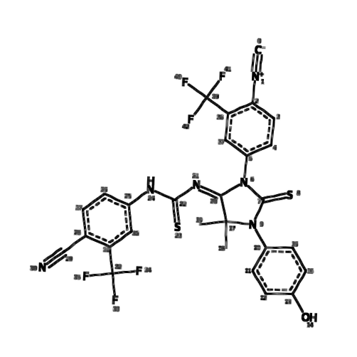 [C-]#[N+]c1ccc(N2C(=S)N(c3ccc(O)cc3)C(C)(C)/C2=N\C(=S)Nc2ccc(C#N)c(C(F)(F)F)c2)cc1C(F)(F)F